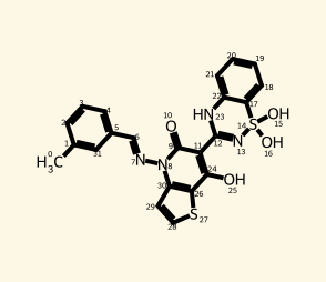 Cc1cccc(C=Nn2c(=O)c(C3=NS(O)(O)c4ccccc4N3)c(O)c3sccc32)c1